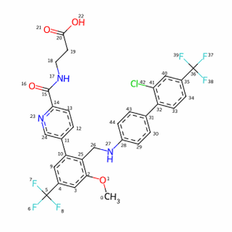 COc1cc(C(F)(F)F)cc(-c2ccc(C(=O)NCCC(=O)O)nc2)c1CNc1ccc(-c2ccc(C(F)(F)F)cc2Cl)cc1